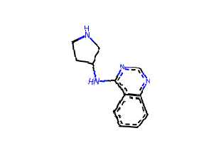 c1ccc2c(NC3CCNC3)ncnc2c1